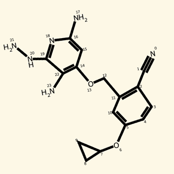 N#Cc1ccc(OC2CC2)cc1COc1cc(N)nc(NN)c1N